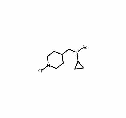 CC(=O)N(CC1CCN(Cl)CC1)C1CC1